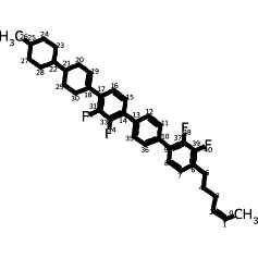 C/C=C\CCCc1ccc(-c2ccc(-c3ccc(C4=CCC(C5CCC(C)CC5)CC4)c(F)c3F)cc2)c(F)c1F